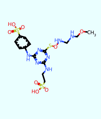 COCNCNOSc1nc(NCCS(=O)(=O)O)nc(Nc2ccc(S(=O)(=O)O)cc2)n1